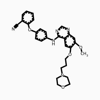 COc1cc2ncnc(Nc3ccc(Oc4ccccc4C#N)cc3)c2cc1OCCCN1CCOCC1